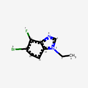 CCn1cnc2c(F)c(Br)ccc21